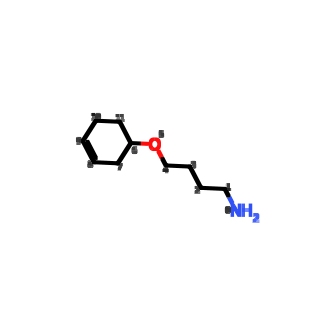 NCCCCOC1CC=CCC1